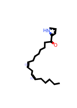 CCCCC/C=C\C/C=C\CCCCCCC(=O)c1ccc[nH]1